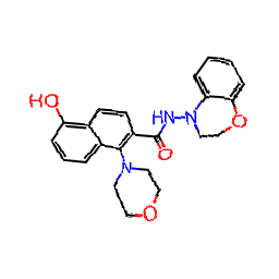 O=C(NN1CCOc2ccccc21)c1ccc2c(O)cccc2c1N1CCOCC1